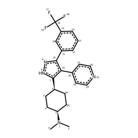 CN(C)[C@H]1CC[C@@H](c2[nH]nc(-c3cccc(C(F)(F)F)c3)c2-c2ccncc2)CC1